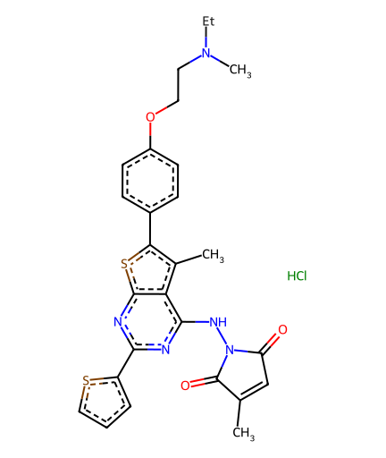 CCN(C)CCOc1ccc(-c2sc3nc(-c4cccs4)nc(NN4C(=O)C=C(C)C4=O)c3c2C)cc1.Cl